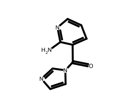 Nc1ncccc1C(=O)n1ccnc1